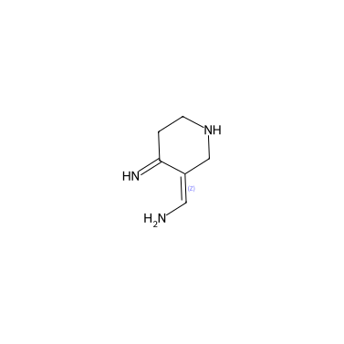 N=C1CCNC/C1=C/N